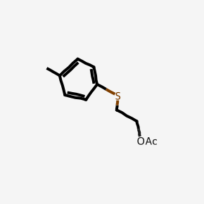 CC(=O)OCCSc1ccc(C)cc1